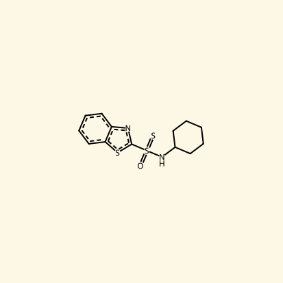 O=S(=S)(NC1CCCCC1)c1nc2ccccc2s1